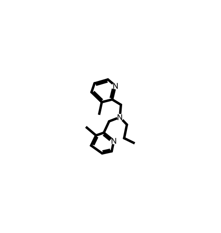 CCCN(Cc1ncccc1C)Cc1ncccc1C